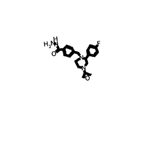 NNC(=O)c1ccc(CN2CCN(C3COC3)CC2c2ccc(F)cc2)cc1